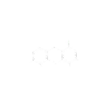 Fc1ccc(Cc2c(Cl)[c]ccc2Cl)cc1